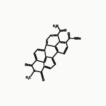 CNC(=O)c1ccc2c3ccc4c5c(ccc(c6ccc(C(N)=O)c1c62)c53)C(=O)N(C)C4=O